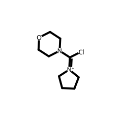 ClC(N1CCOCC1)=[N+]1CCCC1